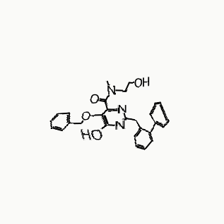 CN(CCO)C(=O)c1nc(Cc2ccccc2-c2ccccc2)nc(O)c1OCc1ccccc1